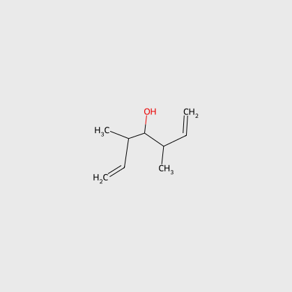 C=CC(C)C(O)C(C)C=C